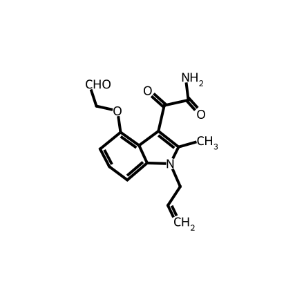 C=CCn1c(C)c(C(=O)C(N)=O)c2c(OCC=O)cccc21